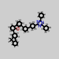 CC1(C)c2ccccc2-c2ccc(-c3cccc4c3oc3c(-c5cccc(-c6ccc(-c7nc(-c8ccccc8)nc(-c8ccccc8)n7)cc6)c5)cccc34)cc21